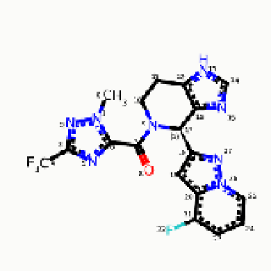 Cn1nc(C(F)(F)F)nc1C(=O)N1CCc2[nH]cnc2[C@H]1c1cc2c(F)cccn2n1